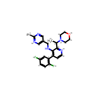 CC(C)c1ncc(CNc2c(-c3cc(F)ccc3F)ccnc2C(C)N2CCOCC2)cn1